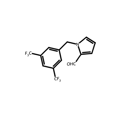 O=Cc1cccn1Cc1cc(C(F)(F)F)cc(C(F)(F)F)c1